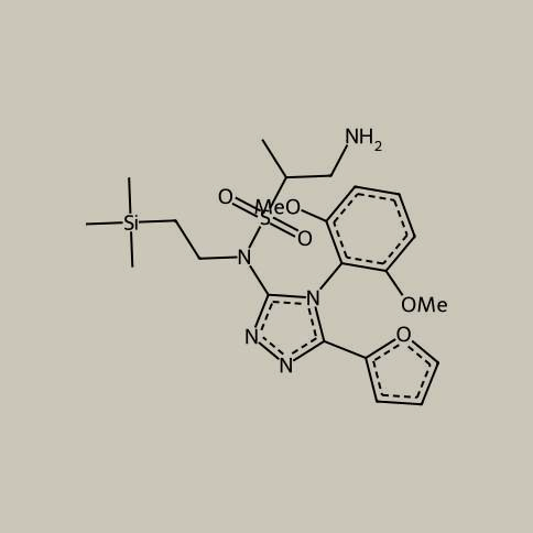 COc1cccc(OC)c1-n1c(-c2ccco2)nnc1N(CC[Si](C)(C)C)S(=O)(=O)C(C)CN